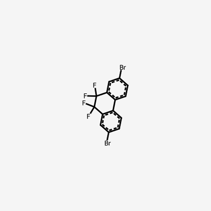 FC1(F)c2cc(Br)ccc2-c2ccc(Br)cc2C1(F)F